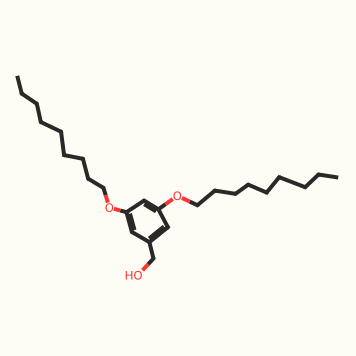 CCCCCCCCCOc1cc(CO)cc(OCCCCCCCCC)c1